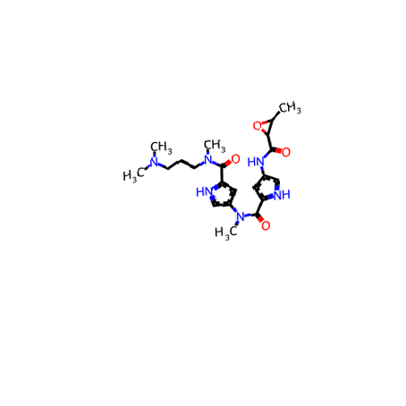 CC1OC1C(=O)Nc1c[nH]c(C(=O)N(C)c2c[nH]c(C(=O)N(C)CCCN(C)C)c2)c1